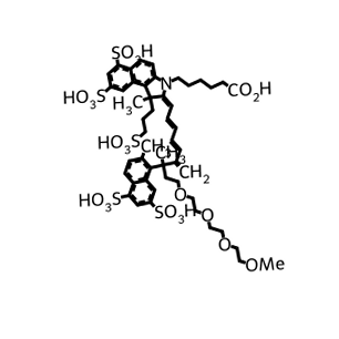 C=C(/C=C/C=C/C=C1/N(CCCCCC(=O)O)c2ccc3c(S(=O)(=O)O)cc(S(=O)(=O)O)cc3c2C1(C)CCCS(=O)(=O)O)C(C)(CCOCCOCCOCCOC)c1c(C)ccc2c(S(=O)(=O)O)cc(S(=O)(=O)O)cc12